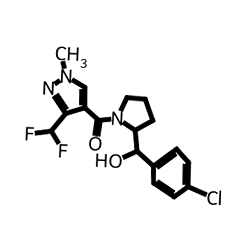 Cn1cc(C(=O)N2CCCC2C(O)c2ccc(Cl)cc2)c(C(F)F)n1